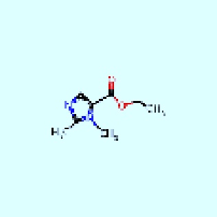 CCOC(=O)c1cnc(C)n1C